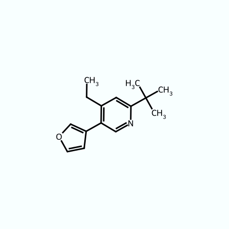 CCc1cc(C(C)(C)C)ncc1-c1ccoc1